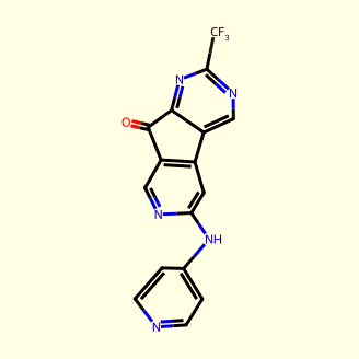 O=C1c2cnc(Nc3ccncc3)cc2-c2cnc(C(F)(F)F)nc21